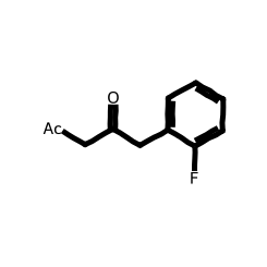 CC(=O)CC(=O)Cc1ccccc1F